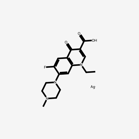 CCn1cc(C(=O)O)c(=O)c2cc(F)c(N3CCN(C)CC3)cc21.[Ag]